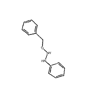 c1ccc(CONNc2ccccc2)cc1